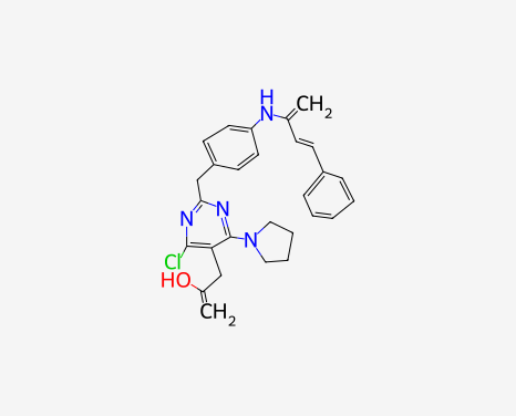 C=C(O)Cc1c(Cl)nc(Cc2ccc(NC(=C)/C=C/c3ccccc3)cc2)nc1N1CCCC1